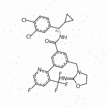 N=C1OCCN1Cc1cc(C(=O)N[C@H](c2ccc(Cl)c(Cl)c2)C2CC2)cc(-c2ncc(F)cc2C(F)(F)F)c1